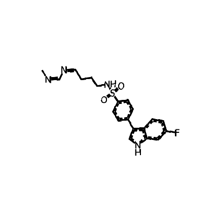 C/N=C\N=C/CCCNS(=O)(=O)c1ccc(-c2c[nH]c3cc(F)ccc23)cc1